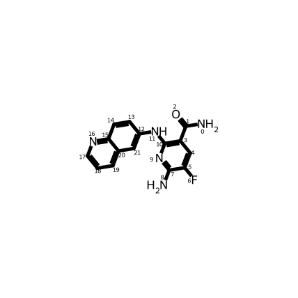 NC(=O)c1cc(F)c(N)nc1Nc1ccc2ncccc2c1